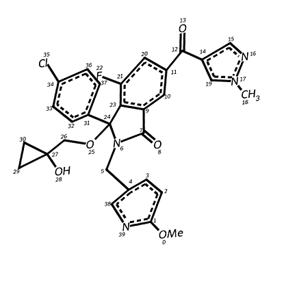 COc1ccc(CN2C(=O)c3cc(C(=O)c4cnn(C)c4)cc(F)c3C2(OCC2(O)CC2)c2ccc(Cl)cc2)cn1